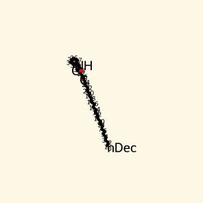 CCCCCCCCCCCCCCCCCCCCCCCCCCCCCCCCCCCCCCC(=O)Nc1ccccc1